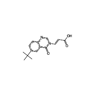 CC(C)(C)c1ccc2ncn(/C=C/C(=O)O)c(=O)c2c1